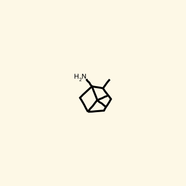 CC1CCC2CC1(N)C2(C)C